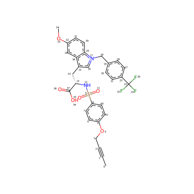 CC#CCOc1ccc(S(=O)(=O)N[C@@H](Cc2cn(Cc3ccc(C(F)(F)F)cc3)c3ccc(OC)cc23)C(=O)O)cc1